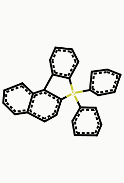 c1ccc(S2(c3ccccc3)c3ccccc3-c3c2ccc2ccccc32)cc1